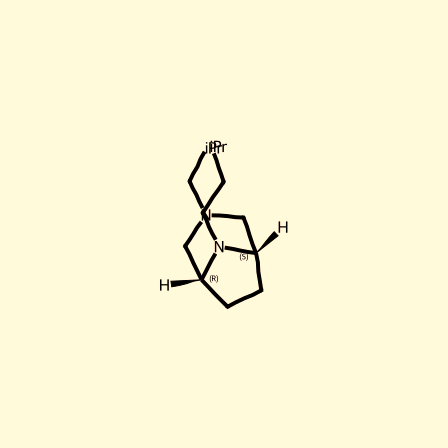 CC(C)CCN1[C@@H]2CC[C@H]1CN(CC(C)C)C2